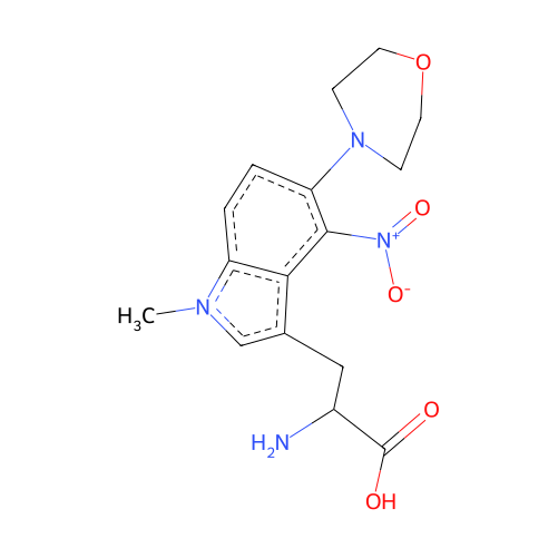 Cn1cc(CC(N)C(=O)O)c2c([N+](=O)[O-])c(N3CCOCC3)ccc21